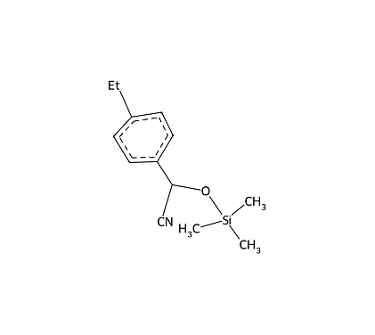 CCc1ccc(C(C#N)O[Si](C)(C)C)cc1